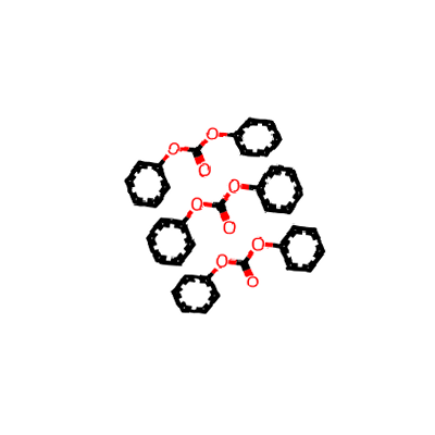 O=C(Oc1ccccc1)Oc1ccccc1.O=C(Oc1ccccc1)Oc1ccccc1.O=C(Oc1ccccc1)Oc1ccccc1